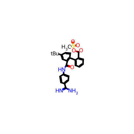 CC(C)(C)c1ccc(-c2ccccc2C(=O)OS(C)(=O)=O)c(C(=O)Nc2ccc(C(=N)N)cc2)c1